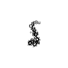 C[C@@H]1CN(C(=O)COC(C)(C)C)CCN1c1ncc(-c2ccc3nc4n(c3n2)C2(CCC4)COc3ccccc32)cn1